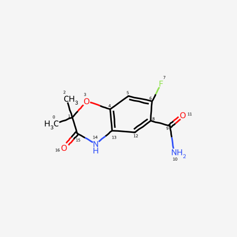 CC1(C)Oc2cc(F)c(C(N)=O)cc2NC1=O